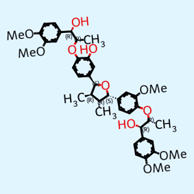 COc1ccc([C@@H](O)[C@@H](C)Oc2ccc([C@H]3O[C@H](c4ccc(O[C@H](C)[C@H](O)c5ccc(OC)c(OC)c5)c(OC)c4)[C@H](C)[C@H]3C)cc2O)cc1OC